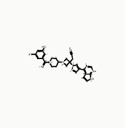 N#CCC1(n2cc(-c3ncnc4[nH]ccc34)cn2)CN(C2CCN(C(=O)c3cc(Cl)cc(Cl)c3)CC2)C1